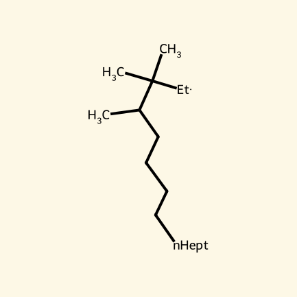 C[CH]C(C)(C)C(C)CCCCCCCCCCC